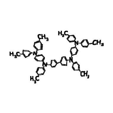 Cc1c#cc(N(c2ccc(C)cc2)c2ccc(N(c3ccc(C)cc3)c3ccc(-c4ccc(N(c5ccc(C)cc5)c5ccc(N(c6ccc(C)cc6)c6ccc(C)cc6)cc5)cc4)cc3)cc2)cc1